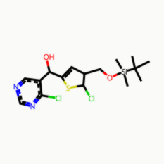 CC(C)(C)[Si](C)(C)OCC1C=C(C(O)c2cncnc2Cl)SC1Cl